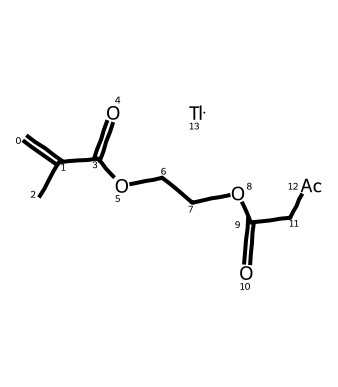 C=C(C)C(=O)OCCOC(=O)CC(C)=O.[Tl]